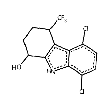 OC1CCC(C(F)(F)F)c2c1[nH]c1c(Cl)ccc(Cl)c21